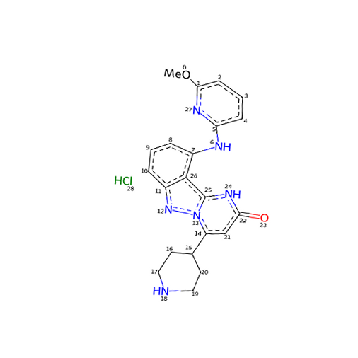 COc1cccc(Nc2cccc3nn4c(C5CCNCC5)cc(=O)[nH]c4c23)n1.Cl